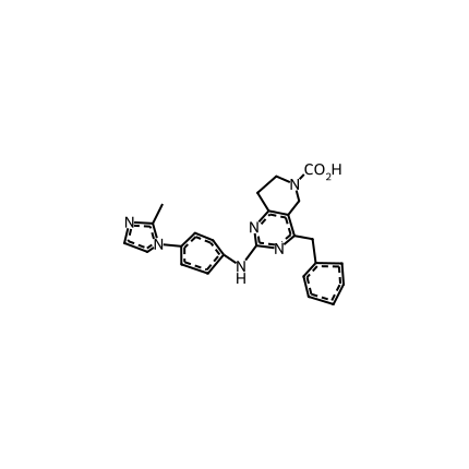 Cc1nccn1-c1ccc(Nc2nc3c(c(Cc4ccccc4)n2)CN(C(=O)O)CC3)cc1